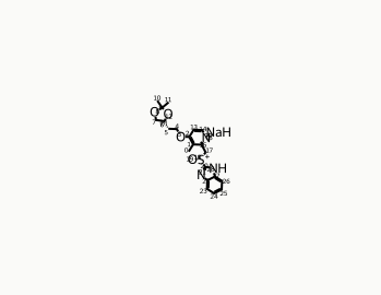 Cc1c(OCC[C@@H]2COC(C)(C)O2)ccnc1C[S+]([O-])c1nc2ccccc2[nH]1.[NaH]